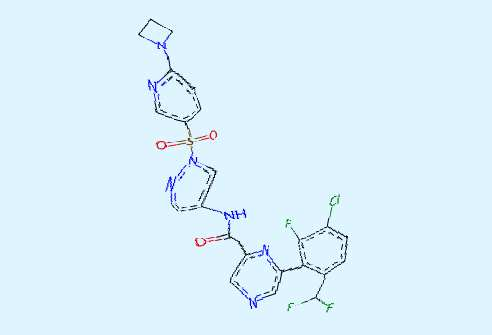 O=C(Nc1cnn(S(=O)(=O)c2ccc(N3CCC3)nc2)c1)c1cncc(-c2c(C(F)F)ccc(Cl)c2F)n1